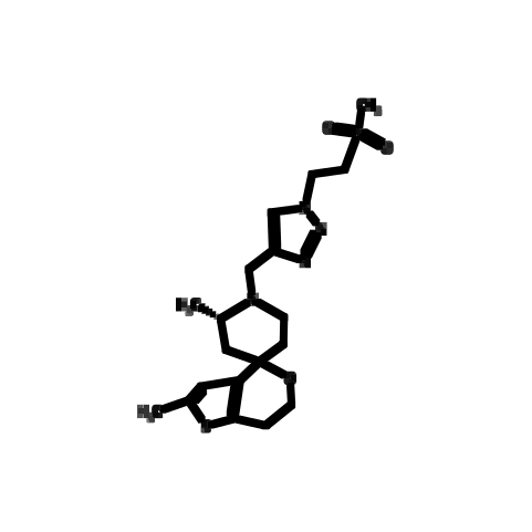 Cc1cc2c(s1)CCOC21CCN(Cc2cn(CCS(C)(=O)=O)nn2)[C@@H](C)C1